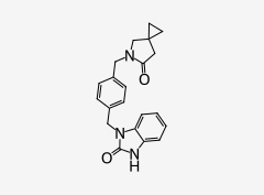 O=C1CC2(CC2)CN1Cc1ccc(Cn2c(=O)[nH]c3ccccc32)cc1